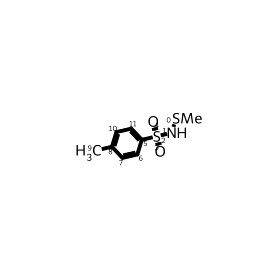 CSNS(=O)(=O)c1ccc(C)cc1